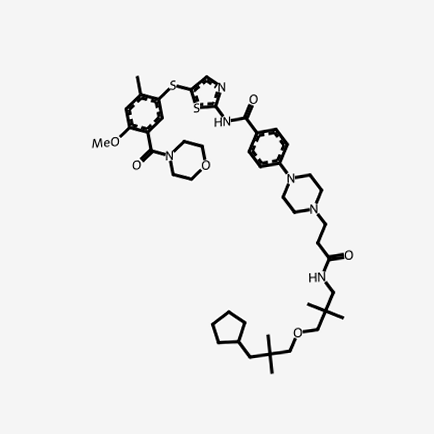 COc1cc(C)c(Sc2cnc(NC(=O)c3ccc(N4CCN(CCC(=O)NCC(C)(C)COCC(C)(C)CC5CCCC5)CC4)cc3)s2)cc1C(=O)N1CCOCC1